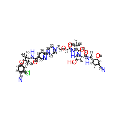 COc1cc(C#N)ccc1[C@H](C)NC(=O)[C@@H]1C[C@@H](O)CN1C(=O)[C@@H](NC(=O)COCCN1CCN(c2ccc(C(=O)NC3C(C)(C)C(Oc4ccc(C#N)c(Cl)c4)C3(C)C)cn2)CC1)C(C)(C)C